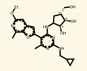 CCOc1cc2cc(-c3c(C)nc(NCC4CC4)nc3NC3C[C@H](CO)[C@@H](O)[C@H]3O)oc2c(C)n1